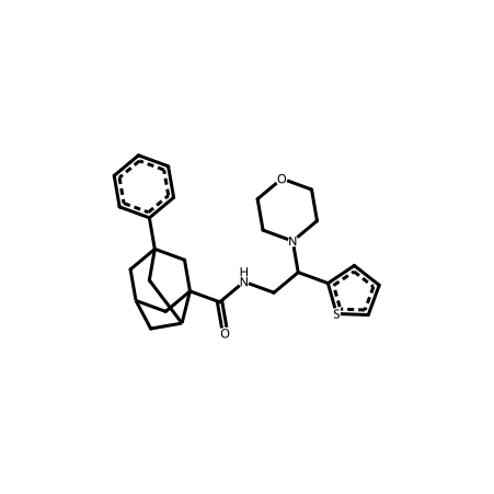 O=C(NCC(c1cccs1)N1CCOCC1)C12CC3CC1CC(c1ccccc1)(C3)C2